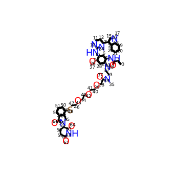 C=CC(=O)Nc1cc(Nc2nccc(-c3cn(C)c4ccccc34)n2)c(OC)cc1N(C)CCN(C)C(=O)COCCOCCOCCSc1cccc2c1CN(C1CCC(=O)NC1=O)C2=O